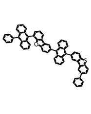 c1ccc(-c2ccc3sc4ccc(-c5c6ccccc6c(-c6ccc7oc8c(-c9c%10ccccc%10c(-c%10ccccc%10)c%10ccccc9%10)cccc8c7c6)c6ccccc56)cc4c3c2)cc1